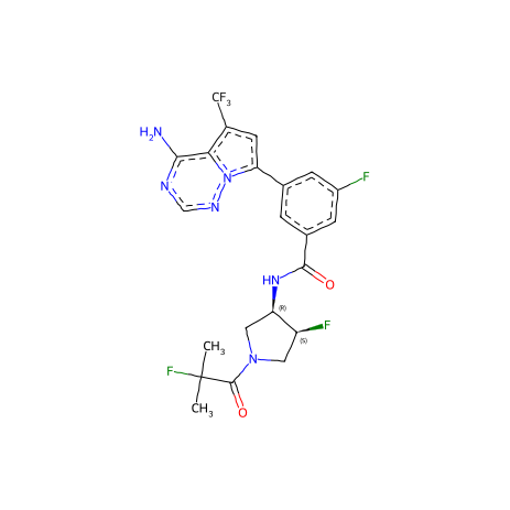 CC(C)(F)C(=O)N1C[C@H](F)[C@H](NC(=O)c2cc(F)cc(-c3cc(C(F)(F)F)c4c(N)ncnn34)c2)C1